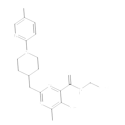 Cc1nc(CC2CCN(c3ccc(C(F)(F)F)cn3)CC2)nc(C(=O)NCC(=O)O)c1O